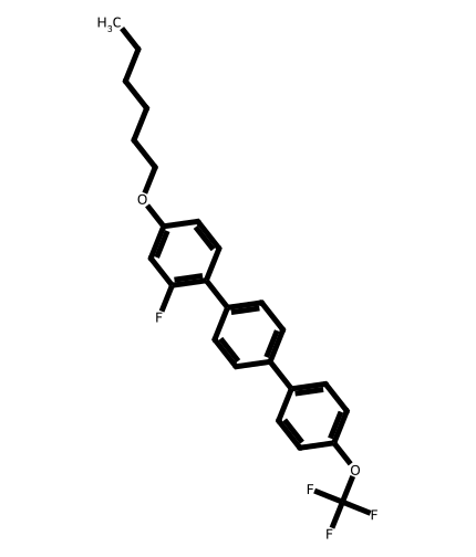 CCCCCCOc1ccc(-c2ccc(-c3ccc(OC(F)(F)F)cc3)cc2)c(F)c1